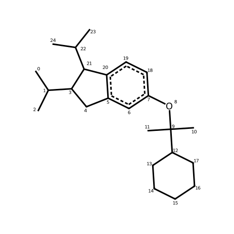 CC(C)C1Cc2cc(OC(C)(C)C3CCCCC3)ccc2C1C(C)C